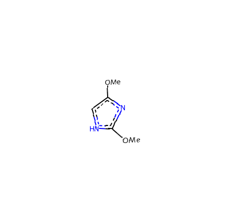 COc1c[nH]c(OC)n1